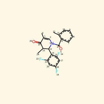 CC1=CN(C(=O)c2ccccc2C)C(c2c(F)cc(F)cc2F)C(C)C1=O